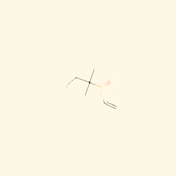 C=C[PH](=O)C(C)(C)CC(C)(C)C